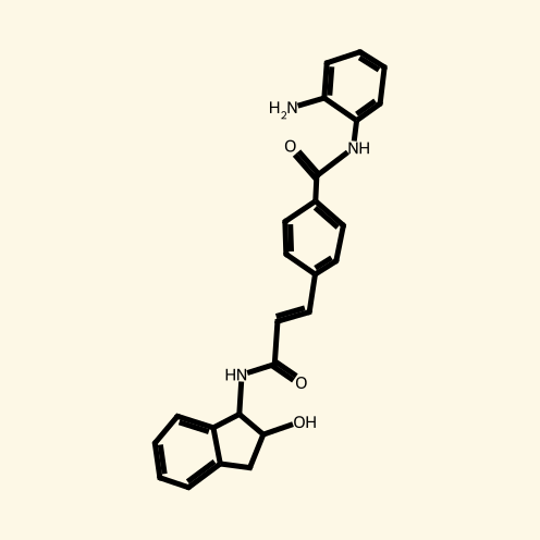 Nc1ccccc1NC(=O)c1ccc(C=CC(=O)NC2c3ccccc3CC2O)cc1